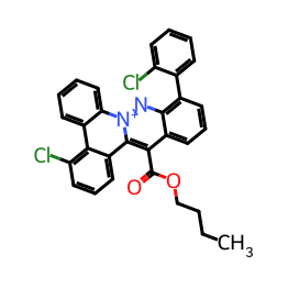 CCCCOC(=O)c1c2cccc(-c3ccccc3Cl)c2n[n+]2c3ccccc3c3c(Cl)cccc3c12